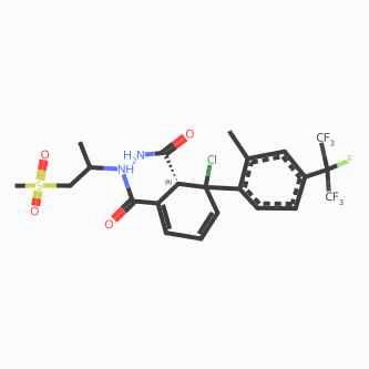 Cc1cc(C(F)(C(F)(F)F)C(F)(F)F)ccc1C1(Cl)C=CC=C(C(=O)NC(C)CS(C)(=O)=O)[C@@H]1C(N)=O